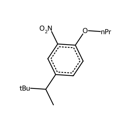 CCCOc1ccc(C(C)C(C)(C)C)cc1[N+](=O)[O-]